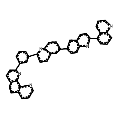 c1cc(-c2ccc3cc(-c4ccc5nc(-c6cccc7ncccc67)ccc5c4)ccc3n2)cc(-c2ccc3ccc4cccnc4c3n2)c1